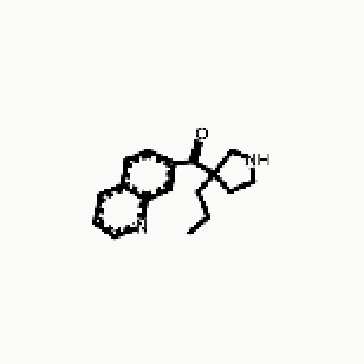 CCCC1(C(=O)c2ccc3cccnc3c2)CCNC1